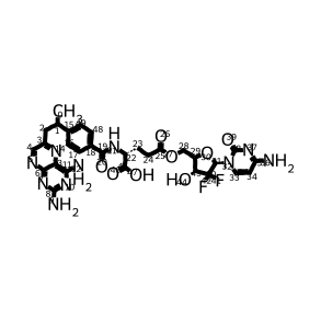 CC(Cc1cnc2nc(N)nc(N)c2n1)c1ccc(C(=O)N[C@H](CCC(=O)OCC2O[C@@H](n3ccc(N)nc3=O)C(F)(F)[C@H]2O)C(=O)O)cc1